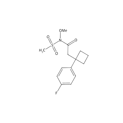 CON(C(=O)CC1(c2ccc(F)cc2)CCC1)S(C)(=O)=O